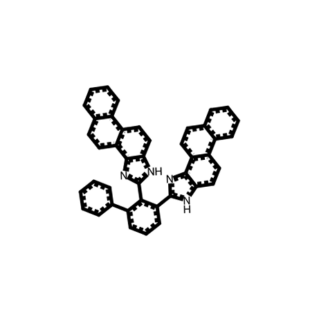 c1ccc(-c2cccc(-c3nc4c(ccc5c6ccccc6ccc54)[nH]3)c2-c2nc3c(ccc4c5ccccc5ccc43)[nH]2)cc1